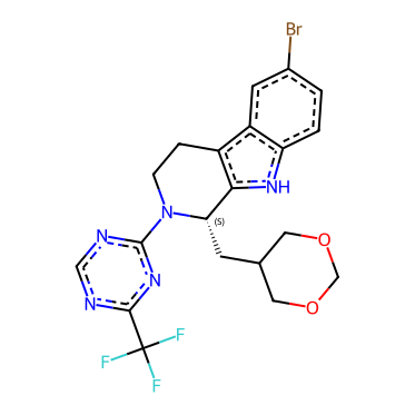 FC(F)(F)c1ncnc(N2CCc3c([nH]c4ccc(Br)cc34)[C@@H]2CC2COCOC2)n1